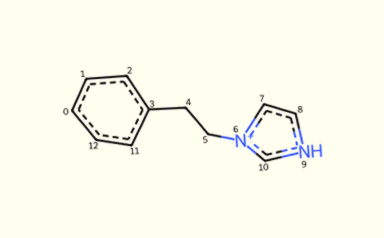 c1ccc(CC[n+]2cc[nH]c2)cc1